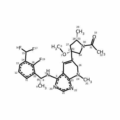 CO[C@]1(C2=Cc3c(N[C@H](C)c4cccc(C(F)F)c4F)ncnc3N(C)C2)C[C@H](C)N(C(C)=O)C1